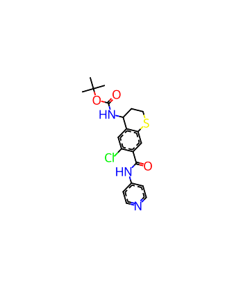 CC(C)(C)OC(=O)NC1CCSc2cc(C(=O)Nc3ccncc3)c(Cl)cc21